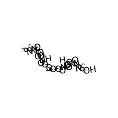 CCc1c2c(nc3ccc(O)cc13)-c1cc3c(c(=O)n1C2)COC(=O)[C@@]3(CC)OC(=O)CNC(=O)COCCOCC(CC)OCCOCC(=O)NCC(=O)O[C@]1(CC)C(=O)OCc2c1cc1n(c2=O)Cc2c-1nc1ccc(C)cc1c2CC